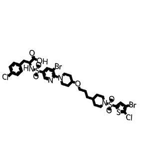 O=C(O)C(Cc1ccc(Cl)cc1)NS(=O)(=O)c1cnc(N2CCC(OCCCC3CCN(S(=O)(=O)c4cc(Br)c(Cl)s4)CC3)CC2)c(Br)c1